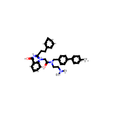 CCN(CC)CCN(Cc1ccc(-c2ccc(C(F)(F)F)cc2)cc1)C(=O)Cn1c(CCc2ccccc2)nc(=O)c2ccccc21